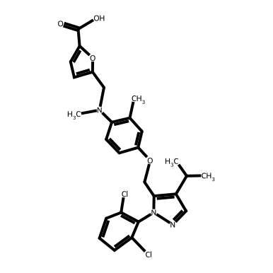 Cc1cc(OCc2c(C(C)C)cnn2-c2c(Cl)cccc2Cl)ccc1N(C)Cc1ccc(C(=O)O)o1